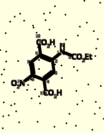 CCOC(=O)Nc1cc(C(=O)O)c([N+](=O)[O-])cc1C(=O)O